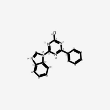 Clc1nc(-c2ccccc2)nc(-n2cnc3ccccc32)n1